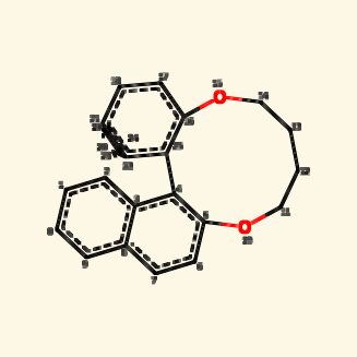 c1ccc2c3c(ccc2c1)OCCCCOc1ccc2ccccc2c1-3